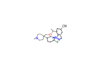 CC(OCC1(c2ccc(F)cc2)CCN(C)CC1)c1cc(C#N)cc2cn[nH]c12